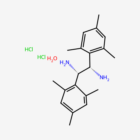 Cc1cc(C)c([C@H](N)[C@@H](N)c2c(C)cc(C)cc2C)c(C)c1.Cl.Cl.O